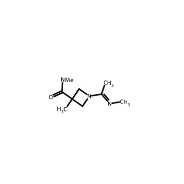 C/N=C(\C)N1CC(C)(C(=O)NC)C1